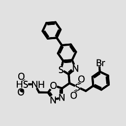 O=[SH](=O)NCc1nnc(C(c2nc3ccc(-c4ccccc4)cc3s2)S(=O)(=O)Cc2cccc(Br)c2)o1